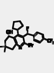 CC(C)c1nc2c(c(C3CCCC3)c1C(F)c1ccc(C(F)(F)F)cc1)[C@@H](O)CC(C)(C)C2